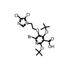 CC(C)(C)Oc1nc(Br)c(OCCn2cnc(Cl)c2Cl)c(OC(C)(C)C)c1C(=O)O